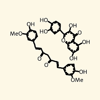 COc1cc(/C=C/C(=O)CC(=O)/C=C/c2ccc(O)c(OC)c2)ccc1O.O=c1c(O)c(-c2ccc(O)c(O)c2)oc2cc(O)cc(O)c12